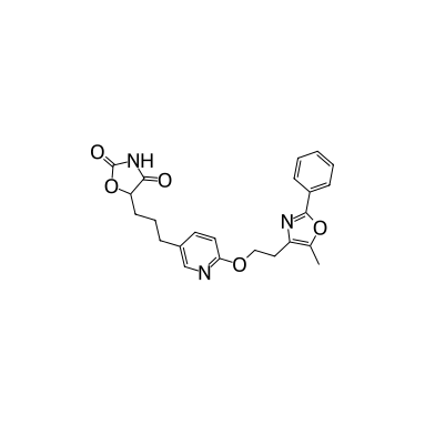 Cc1oc(-c2ccccc2)nc1CCOc1ccc(CCCC2OC(=O)NC2=O)cn1